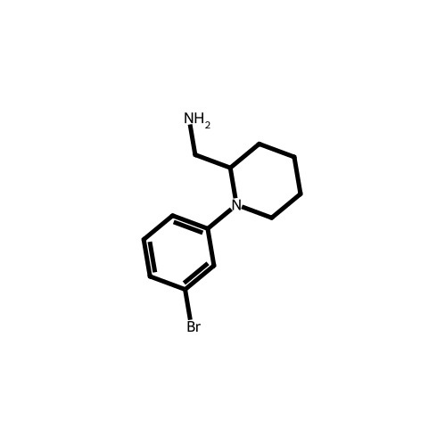 NCC1CCCCN1c1cccc(Br)c1